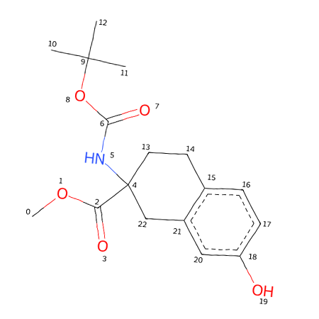 COC(=O)C1(NC(=O)OC(C)(C)C)CCc2ccc(O)cc2C1